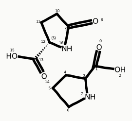 O=C(O)C1CCCN1.O=C1CC[C@@H](C(=O)O)N1